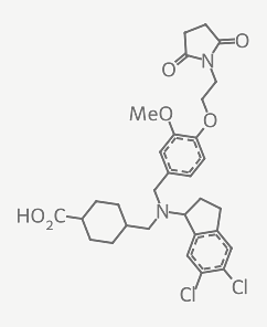 COc1cc(CN(CC2CCC(C(=O)O)CC2)C2CCc3cc(Cl)c(Cl)cc32)ccc1OCCN1C(=O)CCC1=O